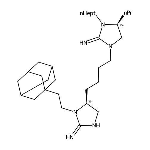 CCCCCCCN1C(=N)N(CCCC[C@H]2CNC(=N)N2CCC23CC4CC(CC(C4)C2)C3)C[C@@H]1CCC